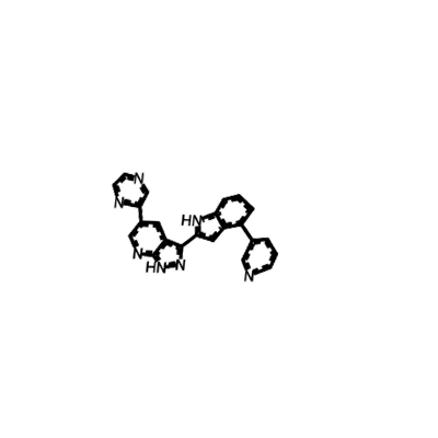 c1cncc(-c2cccc3[nH]c(-c4n[nH]c5ncc(-c6cnccn6)cc45)cc23)c1